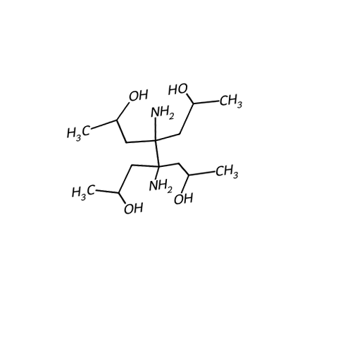 CC(O)CC(N)(CC(C)O)C(N)(CC(C)O)CC(C)O